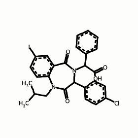 CC(C)CN1C(=O)C(c2ccc(Cl)cc2)N(C(C(=O)O)c2ccccc2)C(=O)c2cc(I)ccc21